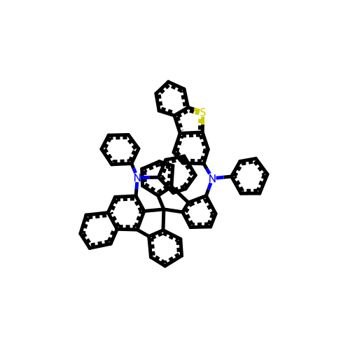 c1ccc(N(c2ccc3c(c2)sc2ccccc23)c2cccc3c2-c2ccccc2C32c3ccccc3-c3c2c(N(c2ccccc2)c2ccccc2)cc2ccccc32)cc1